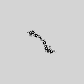 COc1cc2nn([C@H]3CC[C@H](CNCCCCCc4ccc(Oc5cccc6c5C(=O)NC(=O)C6)cc4)CC3)cc2cc1NC(O)c1cccc(C(F)(F)F)n1